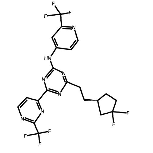 FC1(F)CC[C@H](CCc2nc(Nc3ccnc(C(F)(F)F)c3)nc(-c3ccnc(C(F)(F)F)n3)n2)C1